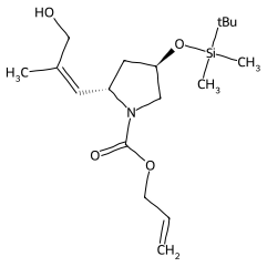 C=CCOC(=O)N1C[C@H](O[Si](C)(C)C(C)(C)C)C[C@H]1C=C(C)CO